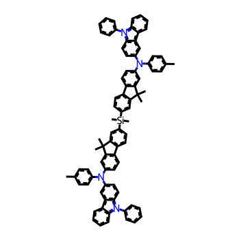 Cc1ccc(N(c2ccc3c(c2)C(C)(C)c2cc([Si](C)(C)c4ccc5c(c4)C(C)(C)c4cc(N(c6ccc(C)cc6)c6ccc7c(c6)c6ccccc6n7-c6ccccc6)ccc4-5)ccc2-3)c2ccc3c(c2)c2ccccc2n3-c2ccccc2)cc1